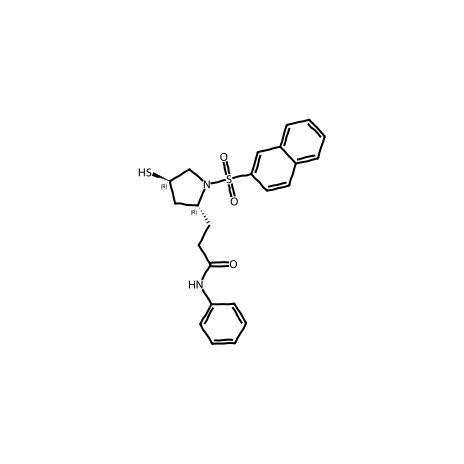 O=C(CC[C@@H]1C[C@@H](S)CN1S(=O)(=O)c1ccc2ccccc2c1)Nc1ccccc1